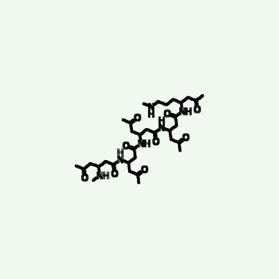 CNCCCC(CC(C)=O)NC(=O)CC(CC(C)=O)NC(=O)CC(CC(C)=O)NC(=O)CC(CC(C)=O)NC(=O)CC(CC(C)=O)NC